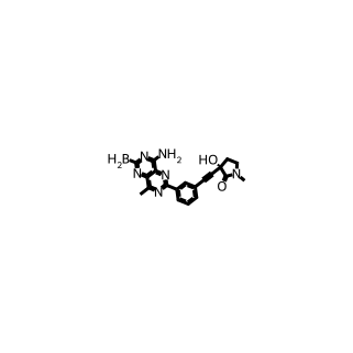 Bc1nc(N)c2nc(-c3cccc(C#C[C@]4(O)CCN(C)C4=O)c3)nc(C)c2n1